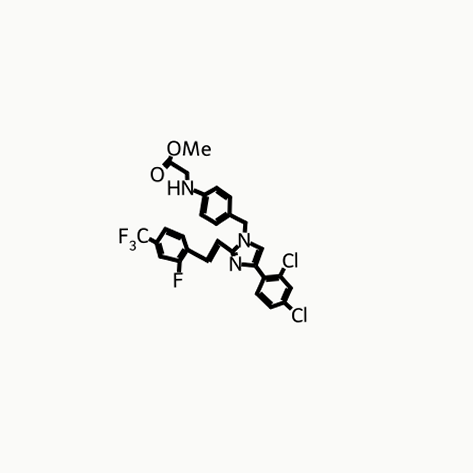 COC(=O)CNc1ccc(Cn2cc(-c3ccc(Cl)cc3Cl)nc2/C=C/c2ccc(C(F)(F)F)cc2F)cc1